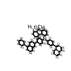 CC1(C)c2ccccc2-c2c(N(c3ccc(C4=CC=CC5C=CC=CC45)cc3)c3ccc(-c4ccc5c(-c6ccccc6)cccc5c4)cc3)cccc21